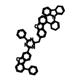 C1=CCC2C(=C1)N(C1=C(c3cccc4oc5cc(Cc6nc(-c7ccccc7)nc(-c7ccc8c(c7)oc7cccc(-c9ccccc9)c78)n6)ccc5c34)CCC=C1)c1ccccc12